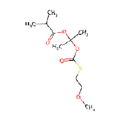 COCCSC(=O)OC(C)(C)OC(=O)C(C)C